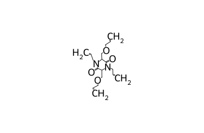 C=CCOCC1C(=O)N(CC=C)C(COCC=C)C(=O)N1CC=C